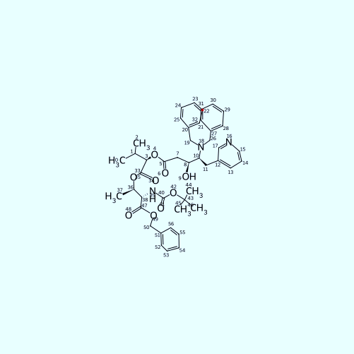 CC(C)[C@@H](OC(=O)C[C@H](O)[C@H](Cc1cccnc1)N(Cc1ccccc1)Cc1ccccc1)C(=O)O[C@H](C)[C@H](NC(=O)OC(C)(C)C)C(=O)OCc1ccccc1